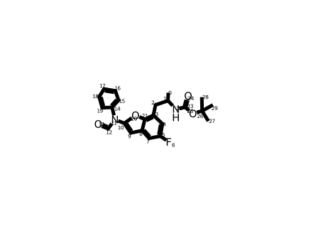 CC(Cc1cc(F)cc2cc(N(C=O)c3ccccc3)oc12)NC(=O)OC(C)(C)C